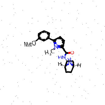 COc1cccc(-c2ccc(C(=O)N[C@@H]3C[C@H]4CC[C@@H]3N4)n2C)c1